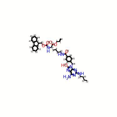 C=CCOC(=O)[C@H](CCCCNC(=O)c1ccc(Cn2c(O)nc3c(N)nc(NCCCC)nc32)cc1)NC(=O)OCC1c2ccccc2-c2ccccc21